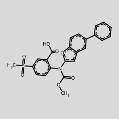 COC(=O)N(c1cc2cc(-c3ccccc3)ccc2o1)c1ccc(S(C)(=O)=O)cc1C(=O)O